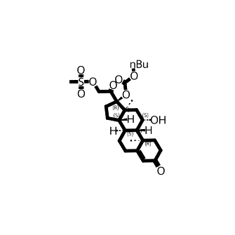 CCCCOC(=O)O[C@]1(C(=O)COS(C)(=O)=O)CC[C@H]2[C@@H]3CCC4=CC(=O)CC[C@]4(C)[C@H]3[C@@H](O)C[C@@]21C